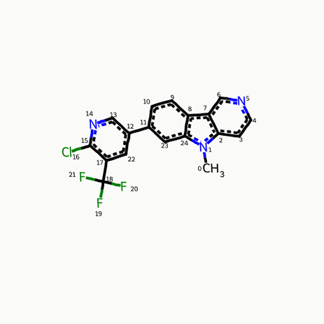 Cn1c2ccncc2c2ccc(-c3cnc(Cl)c(C(F)(F)F)c3)cc21